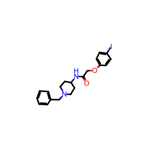 O=C(COc1ccc(I)cc1)NC1CCN(Cc2ccccc2)CC1